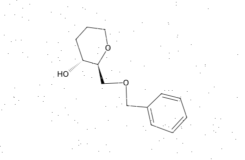 O[C@@H]1CCCO[C@H]1COCc1ccccc1